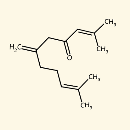 C=C(CCC=C(C)C)CC(=O)C=C(C)C